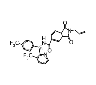 C=CCN1C(=O)C2C=CC(C(=O)N[C@@H](c3ccc(C(F)(F)F)cc3)c3ncccc3C(F)(F)F)=CC2C1=O